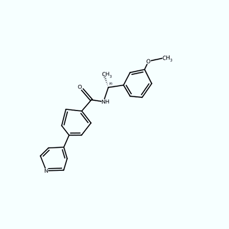 COc1cccc([C@@H](C)NC(=O)c2ccc(-c3ccncc3)cc2)c1